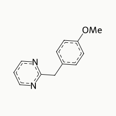 COc1ccc(Cc2ncccn2)cc1